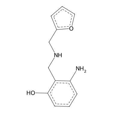 Nc1cccc(O)c1CNCc1ccco1